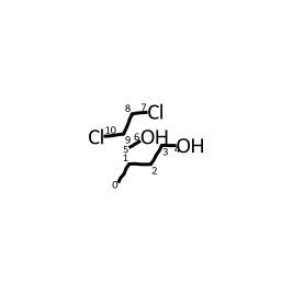 CCCCO.CO.ClCCCl